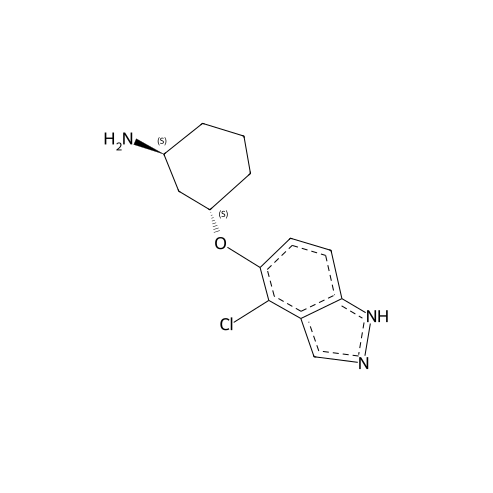 N[C@H]1CCC[C@H](Oc2ccc3[nH]ncc3c2Cl)C1